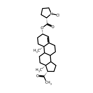 CC(=O)[C@H]1CCC2C3CCC4=C[C@@H](OC(=O)[C@@H]5CCCN5Cl)CC[C@]4(C)C3CC[C@@]21C